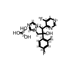 CC(c1ncncc1F)C(O)(Cn1cncn1)c1ccc(F)cc1F.OP(O)O